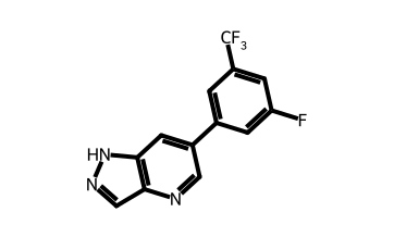 Fc1cc(-c2cnc3cn[nH]c3c2)cc(C(F)(F)F)c1